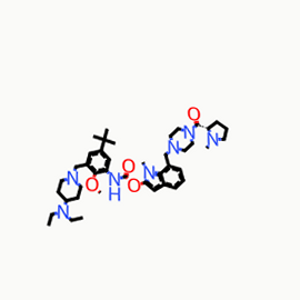 CCN(CC)C1CCN(Cc2cc(C(C)(C)C)cc(NC(=O)Oc3cc4cccc(CN5CCN(C(=O)[C@@H]6CCCN6C)CC5)c4n3C)c2OC)CC1